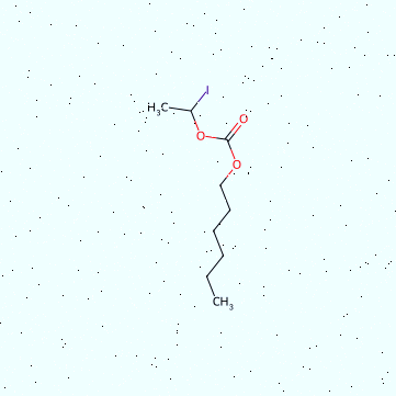 CCCCCCOC(=O)OC(C)I